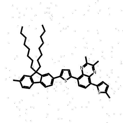 CCCCCCCCC1(CCCCCCCC)c2cc(C)ccc2-c2ccc(-c3ccc(-c4ccc(-c5ccc(C)s5)c5nc(C)c(C)nc45)s3)cc21